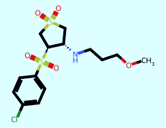 COCCCN[C@H]1CS(=O)(=O)C[C@@H]1S(=O)(=O)c1ccc(Cl)cc1